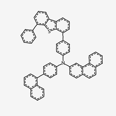 c1ccc(-c2cccc3c2sc2c(-c4ccc(N(c5ccc(-c6cccc7ccccc67)cc5)c5ccc6ccc7ccccc7c6c5)cc4)cccc23)cc1